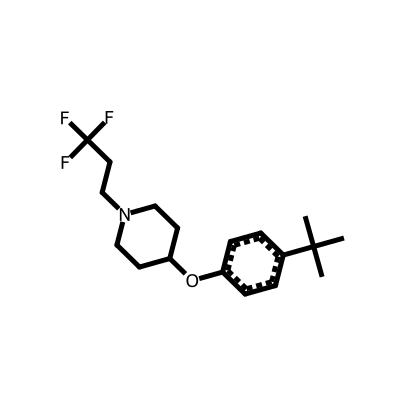 CC(C)(C)c1ccc(OC2CCN(CCC(F)(F)F)CC2)cc1